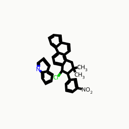 CC1(C)Cc2c(ccc3c2ccc2ccccc23)C(Cl)C1c1cccc([N+](=O)[O-])c1.c1ccc2ncccc2c1